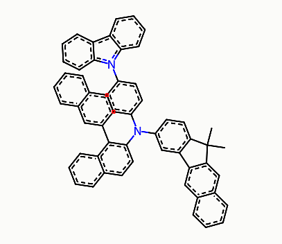 CC1(C)c2ccc(N(c3ccc(-n4c5ccccc5c5ccccc54)cc3)c3ccc4ccccc4c3-c3ccc4ccccc4c3)cc2-c2cc3ccccc3cc21